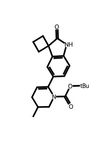 CC1CC=C(c2ccc3c(c2)C2(CCC2)C(=O)N3)N(C(=O)OC(C)(C)C)C1